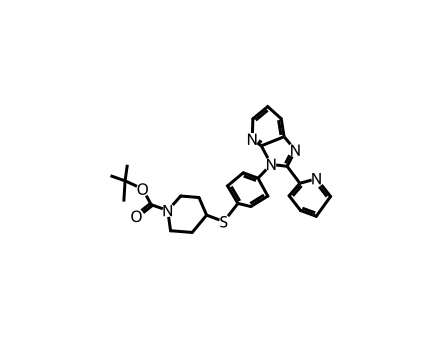 CC(C)(C)OC(=O)N1CCC(Sc2ccc(-n3c(-c4ccccn4)nc4cccnc43)cc2)CC1